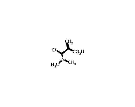 C=C(C(=O)O)C(CC)N(C)C